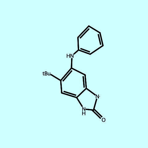 CC(C)(C)c1cc2c(cc1Nc1ccccc1)[N]C(=O)N2